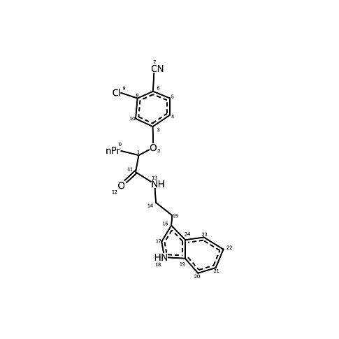 CCCC(Oc1ccc(C#N)c(Cl)c1)C(=O)NCCc1c[nH]c2ccccc12